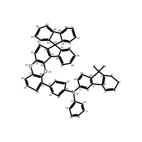 CC1(C)C2=C(C=CCC2)c2cc(N(c3ccccc3)c3ccc(-c4cccc5c4Oc4c(ccc6c4-c4ccccc4C64c6ccccc6-c6ccccc64)O5)cc3)ccc21